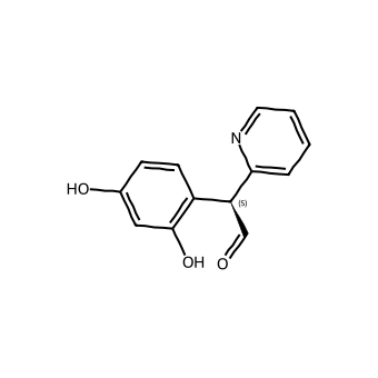 O=C[C@H](c1ccccn1)c1ccc(O)cc1O